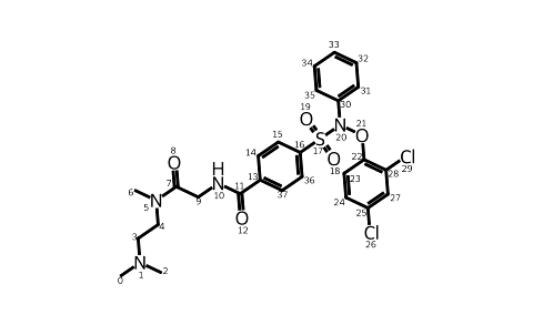 CN(C)CCN(C)C(=O)CNC(=O)c1ccc(S(=O)(=O)N(Oc2ccc(Cl)cc2Cl)c2ccccc2)cc1